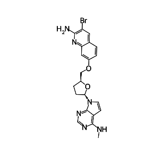 CNc1ncnc2c1ccn2[C@H]1CC[C@@H](COc2ccc3cc(Br)c(N)nc3c2)O1